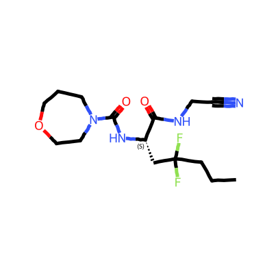 CCCC(F)(F)C[C@H](NC(=O)N1CCCOCC1)C(=O)NCC#N